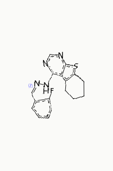 Fc1ccccc1/C=N\Nc1ncnc2sc3c(c12)CCCC3